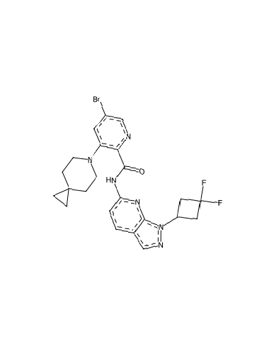 O=C(Nc1ccc2cnn(C3CC(F)(F)C3)c2n1)c1ncc(Br)cc1N1CCC2(CC1)CC2